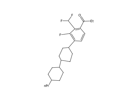 CCCC1CCC(C2CCC(c3ccc(C(=O)CC)c(C(F)F)c3F)CC2)CC1